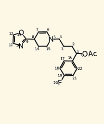 CC(=O)OC(CCCN1C=CC(c2ncco2)CC1)c1ccc(F)cc1